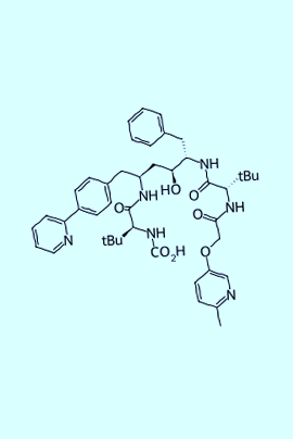 Cc1ccc(OCC(=O)N[C@H](C(=O)N[C@@H](Cc2ccccc2)[C@@H](O)C[C@H](Cc2ccc(-c3ccccn3)cc2)NC(=O)[C@@H](NC(=O)O)C(C)(C)C)C(C)(C)C)cn1